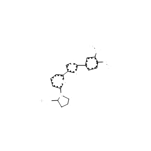 CCOc1ccc(-c2nc(-c3cccc(N4CCCC4C(=O)O)n3)cs2)cc1OCC